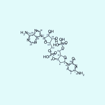 Nc1ccn([C@H]2C[C@@H](OP(=O)(O)OCC3OC(n4cnc5c(N)ncnc54)C(O)C3O)C(COP(=O)(O)O)O2)c(=O)n1